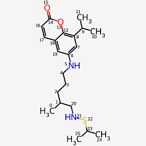 CC(CCCNc1cc(C(C)C)c2oc(=O)ccc2c1)CNSC(C)C